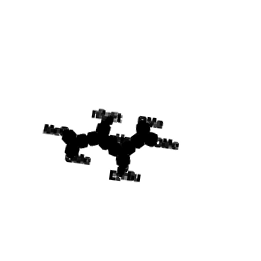 CCCCCCC1(CCCCCC)C2=C(CCC(N(c3ccc(OCC(CC)CCCC)cc3)c3ccc(-c4ccc(N(c5ccc(OC)cc5)c5ccc(OC)cc5)cc4)cc3)=C2)c2ccc(N(c3ccc(OCC(CC)CCCC)cc3)c3ccc(-c4ccc(N(C5=CCC(OC)C=C5)c5ccc(OC)cc5)cc4)cc3)cc21